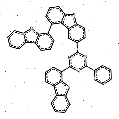 c1ccc(-c2nc(-c3ccc4sc5cccc(-c6cccc7c6oc6ccccc67)c5c4c3)nc(-c3cccc4c3sc3ccccc34)n2)cc1